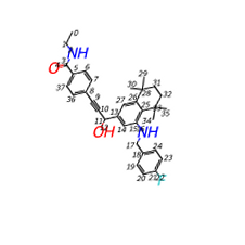 CCNC(=O)c1ccc(C#CC(O)c2cc(NCc3ccc(F)cc3)c3c(c2)C(C)(C)CCC3(C)C)cc1